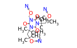 CC(C)(CC(C)(C)n1c(=O)n(COC#N)c(=O)n(C(C)(C)CC(C)(C)OC#N)c1=O)OC#N